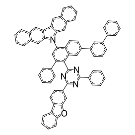 c1ccc(-c2cccc(-c3ccc4c(-n5c6cc7ccccc7cc6c6cc7ccccc7cc65)cc(-c5ccccc5)c(-c5nc(-c6ccccc6)nc(-c6ccc7c(c6)oc6ccccc67)n5)c4c3)c2)cc1